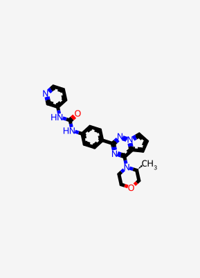 C[C@@H]1COCCN1c1nc(-c2ccc(NC(=O)Nc3cccnc3)cc2)nn2cccc12